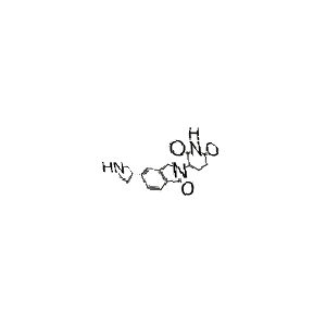 O=C1CCC(N2Cc3cc([C@@H]4CCNC4)ccc3C2=O)C(=O)N1